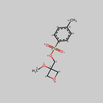 COC1(COS(=O)(=O)c2ccc(C)cc2)COC1